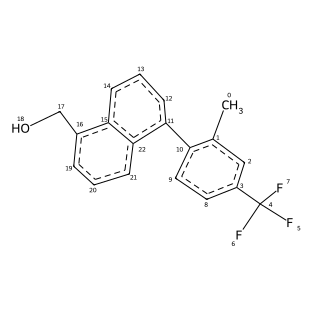 Cc1cc(C(F)(F)F)ccc1-c1cccc2c(CO)cccc12